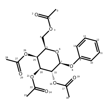 CC(=O)OC[C@H]1O[C@@H](Oc2ccccc2)[C@H](OC(C)=O)[C@@H](OC(C)=O)[C@H]1OC(C)=O